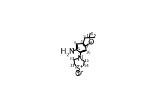 CC1(C)Cc2cc(N)c(N3CC[S+]([O-])CC3)cc2O1